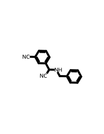 N#Cc1cccc(C(C#N)NCc2ccccc2)c1